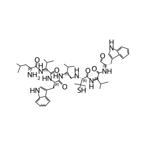 CC(C)C[C@@H](N)C(=O)N[C@H](C(=O)N[C@H](Cc1c[nH]c2ccccc12)C(=O)N[C@H](CN[C@H](C(=O)N[C@@H](C(=O)N[C@H](C=O)Cc1c[nH]c2ccccc12)C(C)C)C(C)(C)S)C(C)C)C(C)C